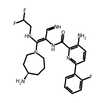 N=C/C(NC(=O)c1nc(-c2ccccc2F)ccc1N)=C(\NCC(F)F)N1CCC[C@@H](N)CC1